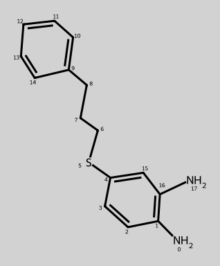 Nc1ccc(SCCCc2ccccc2)cc1N